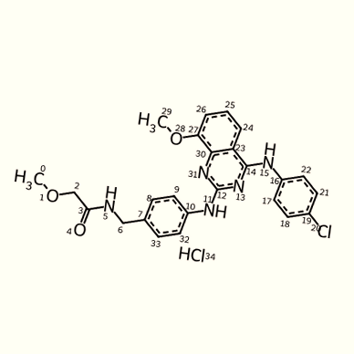 COCC(=O)NCc1ccc(Nc2nc(Nc3ccc(Cl)cc3)c3cccc(OC)c3n2)cc1.Cl